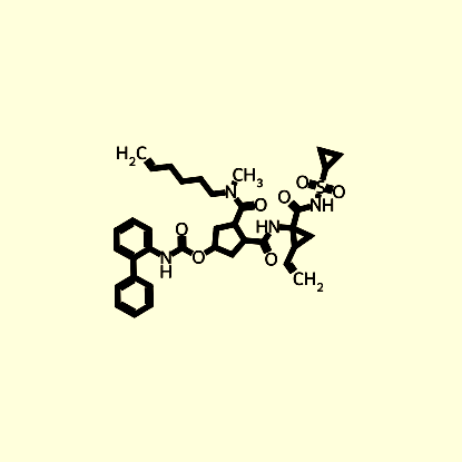 C=CCCCCN(C)C(=O)C1CC(OC(=O)Nc2ccccc2-c2ccccc2)CC1C(=O)NC1(C(=O)NS(=O)(=O)C2CC2)CC1C=C